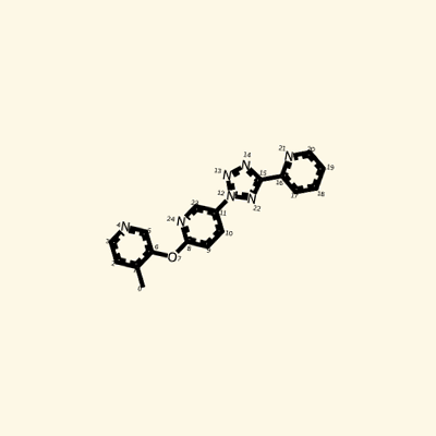 Cc1ccncc1Oc1ccc(-n2nnc(-c3ccccn3)n2)cn1